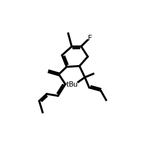 C=C(/C=C\C=C/C)C1=CC(C)=C(F)CC1C(C)(C=CC)C(C)(C)C